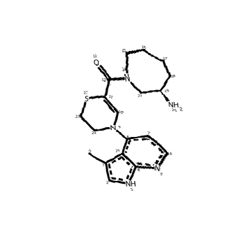 Cc1c[nH]c2nccc(N3C=C(C(=O)N4CCCC[C@@H](N)C4)SCC3)c12